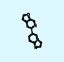 c1cn2cc(-c3cc4ccoc4cn3)ccc2n1